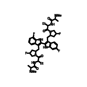 CCC(NC(=O)C(C)NC)C(=O)N1CC(F)CC1Cc1c(-c2[nH]c3c(F)cccc3c2CC2CC(F)CN2C(=O)C(CC)NC(=O)C(C)NC)[nH]c2cc(F)ccc12